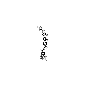 CCC(=S)NC[C@H]1CN(c2ccc(N3CCN(C(=O)CCC(=O)c4ccc([AsH]S(C)(=O)=O)cc4)CC3)c(F)c2)C(=O)O1